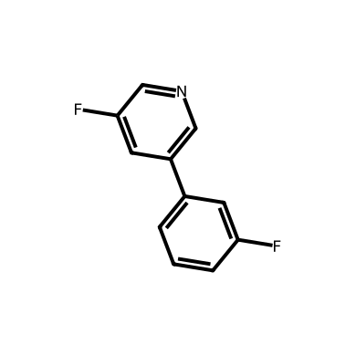 Fc1cccc(-c2cncc(F)c2)c1